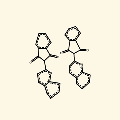 O=C1c2ccccc2C(=O)C1c1ccc2ccccc2n1.O=C1c2ccccc2C(=O)C1c1ccc2ccccc2n1